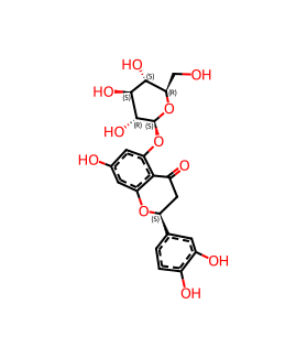 O=C1C[C@@H](c2ccc(O)c(O)c2)Oc2cc(O)cc(O[C@@H]3O[C@H](CO)[C@@H](O)[C@H](O)[C@H]3O)c21